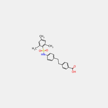 Cc1cc(C)c(S(=O)(=O)Nc2ccc(CCc3ccc(C(=O)O)cc3)cc2)c(C)c1